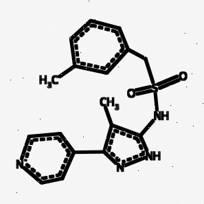 Cc1cccc(CS(=O)(=O)Nc2[nH]nc(-c3ccncc3)c2C)c1